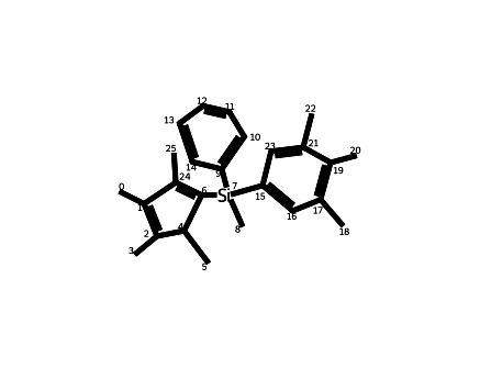 CC1=C(C)C(C)C([Si](C)(c2ccccc2)c2cc(C)c(C)c(C)c2)=C1C